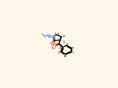 C[C@@]1(C(=O)c2ccccc2)CCNC1=O